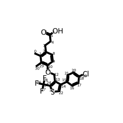 Cc1c(CCC(=O)O)ccc(OCc2c(-c3ccc(Cl)cc3)csc2C(F)(F)F)c1C